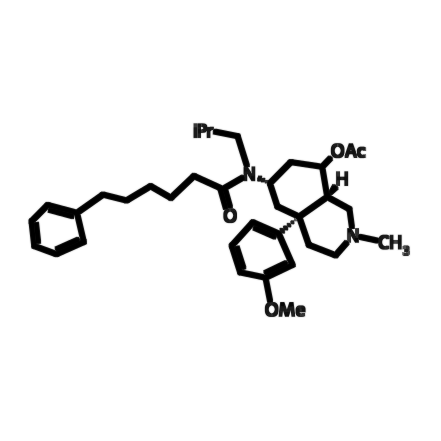 COc1cccc([C@@]23CCN(C)C[C@H]2C(OC(C)=O)C[C@@H](N(CC(C)C)C(=O)CCCCCc2ccccc2)C3)c1